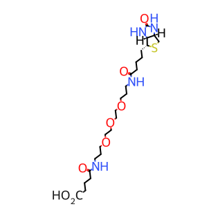 O=C(O)CCCC(=O)NCCCOCCOCCOCCCNC(=O)CCCC[C@H]1SC[C@H]2NC(=O)N[C@H]21